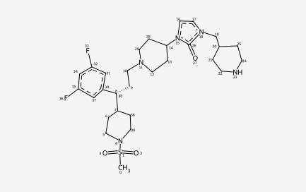 CS(=O)(=O)N1CCC([C@@H](CCN2CCC(n3ccn(CC4CCNCC4)c3=O)CC2)c2cc(F)cc(F)c2)CC1